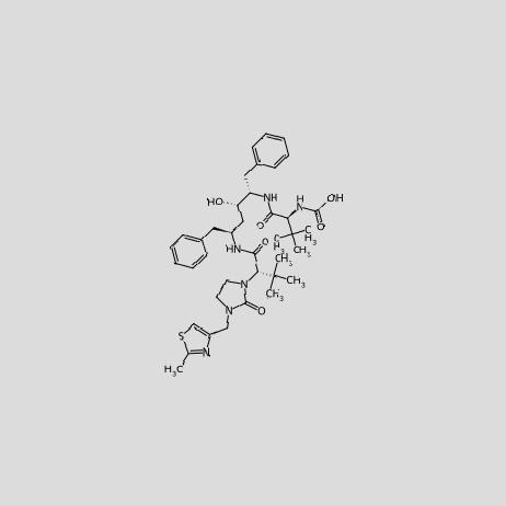 Cc1nc(CN2CCN([C@H](C(=O)N[C@@H](Cc3ccccc3)C[C@H](O)[C@H](Cc3ccccc3)NC(=O)[C@@H](NC(=O)O)C(C)(C)C)C(C)(C)C)C2=O)cs1